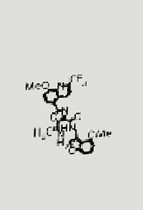 COc1ccc(-c2nc(C(=O)NCc3coc4cccc(OC)c34)c([C@H](C)N)o2)c2ccc(C(F)(F)F)nc12